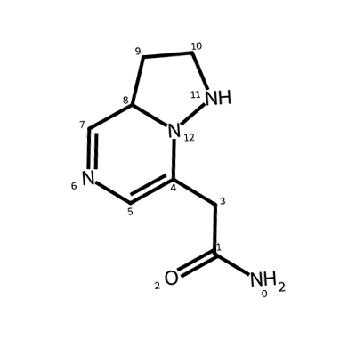 NC(=O)CC1=CN=CC2CCNN12